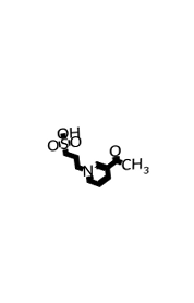 CC(=O)c1ccc[n+](CCCS(=O)(=O)O)c1